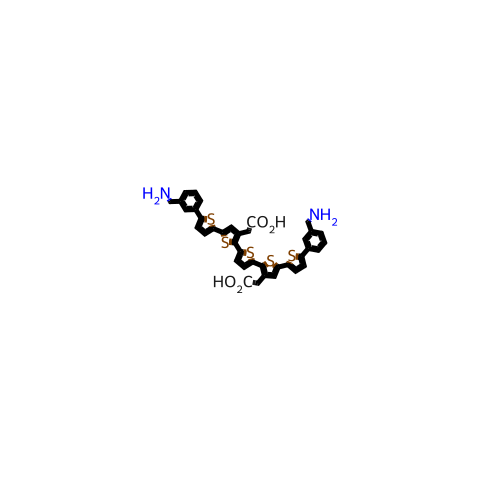 NCc1cccc(-c2ccc(-c3cc(CC(=O)O)c(-c4ccc(-c5sc(-c6ccc(-c7cccc(CN)c7)s6)cc5CC(=O)O)s4)s3)s2)c1